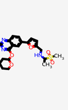 CC(NCc1ccc(-c2ccc3ncnc(OC4CCCCO4)c3c2)o1)S(C)(=O)=O